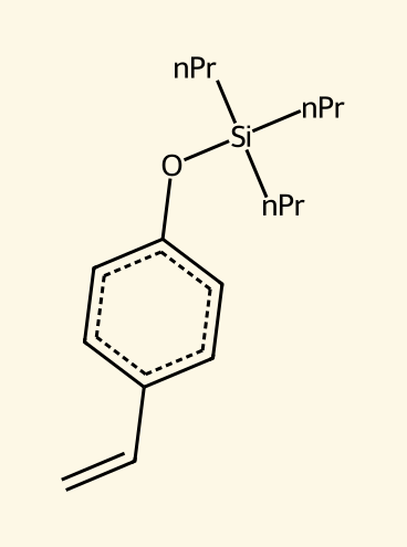 C=Cc1ccc(O[Si](CCC)(CCC)CCC)cc1